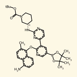 Cc1ccc2c(N)cccc2c1Oc1ncc(B2OC(C)(C)C(C)(C)O2)cc1-c1ccnc(N[C@H]2CCCN(C(=O)OC(C)(C)C)C2)n1